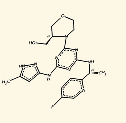 Cc1cc(Nc2nc(N[C@@H](C)c3ccc(F)cn3)nc(N3CCOC[C@@H]3CO)n2)n[nH]1